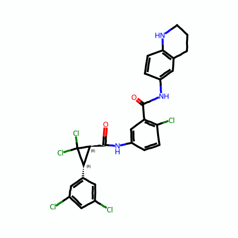 O=C(Nc1ccc2c(c1)CCCN2)c1cc(NC(=O)[C@H]2[C@H](c3cc(Cl)cc(Cl)c3)C2(Cl)Cl)ccc1Cl